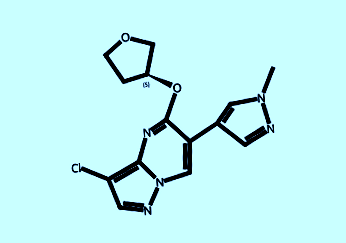 Cn1cc(-c2cn3ncc(Cl)c3nc2O[C@H]2CCOC2)cn1